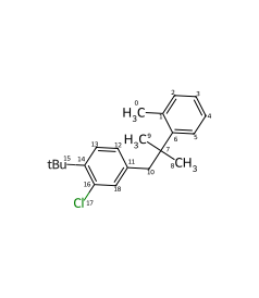 Cc1ccccc1C(C)(C)Cc1ccc(C(C)(C)C)c(Cl)c1